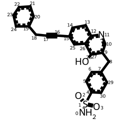 NS(=O)(=O)c1ccc(Cc2cnc3ccc(C#CCc4ccccc4)cc3c2O)cc1